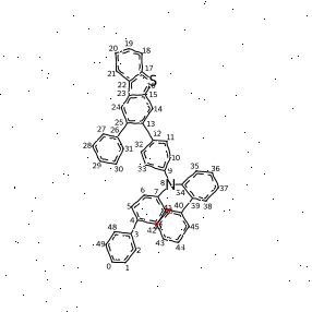 c1ccc(-c2ccc(N(c3ccc(-c4cc5sc6ccccc6c5cc4-c4ccccc4)cc3)c3ccccc3-c3ccccc3)cc2)cc1